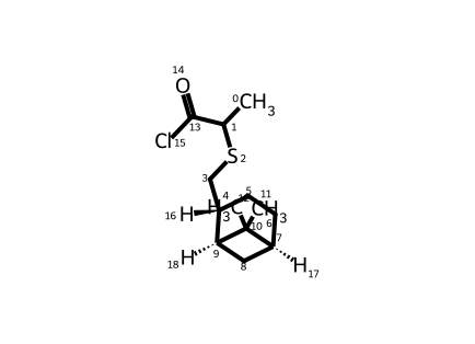 CC(SC[C@@H]1CC[C@H]2C[C@@H]1C2(C)C)C(=O)Cl